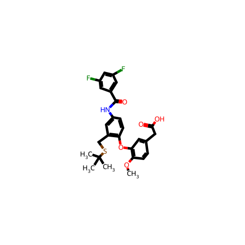 COc1ccc(CC(=O)O)cc1Oc1ccc(NC(=O)c2cc(F)cc(F)c2)cc1CSC(C)(C)C